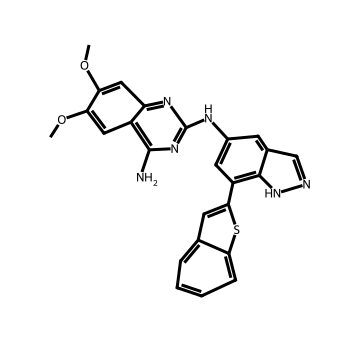 COc1cc2nc(Nc3cc(-c4cc5ccccc5s4)c4[nH]ncc4c3)nc(N)c2cc1OC